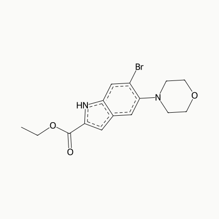 CCOC(=O)c1cc2cc(N3CCOCC3)c(Br)cc2[nH]1